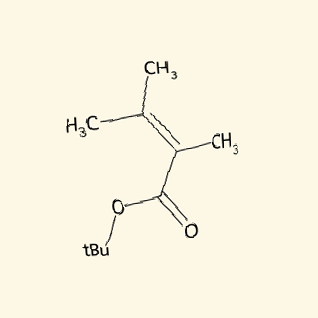 CC(C)=C(C)C(=O)OC(C)(C)C